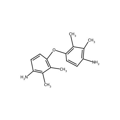 Cc1c(N)ccc(Oc2ccc(N)c(C)c2C)c1C